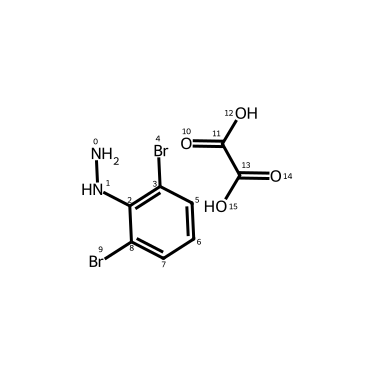 NNc1c(Br)cccc1Br.O=C(O)C(=O)O